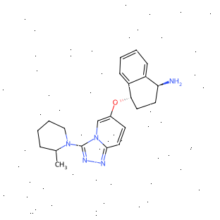 CC1CCCCN1c1nnc2ccc(O[C@H]3CC[C@H](N)c4ccccc43)cn12